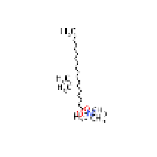 CCC.CCCCCCCCCCCCCCCCCC(=O)O[N+](C)(C)C